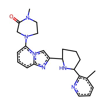 Cc1cccnc1C1CCCC(c2cn3c(N4CCN(C)C(=O)C4)cccc3n2)N1